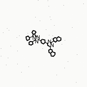 c1ccc(-c2nc(-c3ccc(-c4cc(-c5ccc6ccccc6c5)nc(-c5ccc6ccccc6c5)n4)cc3)nc3c4ccccc4c(-c4ccccc4)n23)cc1